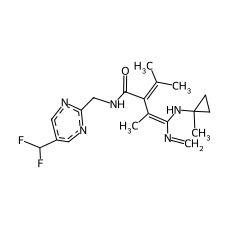 C=N/C(NC1(C)CC1)=C(\C)C(C(=O)NCc1ncc(C(F)F)cn1)=C(C)C